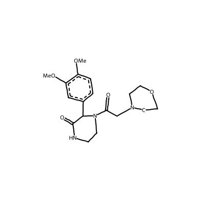 COc1ccc(C2C(=O)NCCN2C(=O)CN2CCOCC2)cc1OC